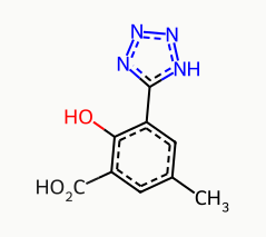 Cc1cc(C(=O)O)c(O)c(-c2nnn[nH]2)c1